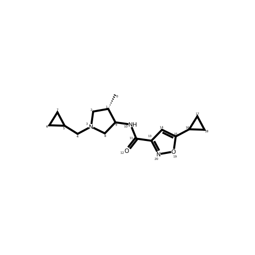 C[C@H]1CN(CC2CC2)CC1NC(=O)c1cc(C2CC2)on1